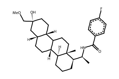 COC[C@@]1(O)CC[C@@H]2C3CC[C@]4(C)[C@@H]([C@H](C)NC(=O)c5ccc(F)cc5)CCC[C@H]4[C@@H]3CC[C@@H]2C1